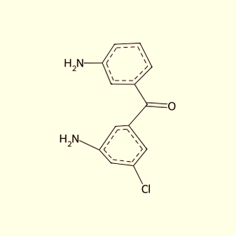 Nc1cccc(C(=O)c2cc(N)cc(Cl)c2)c1